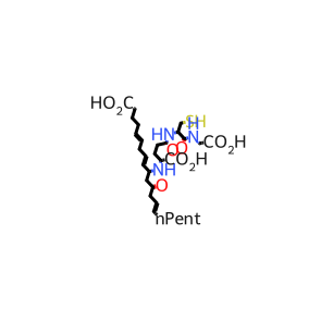 CCCCCC=CCC(=O)CC(C=CCC=CCCCC(=O)O)NC(CCC(=O)NC(CS)C(=O)NCC(=O)O)C(=O)O